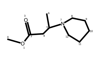 COC(=O)CC(C)N1CCCCC1